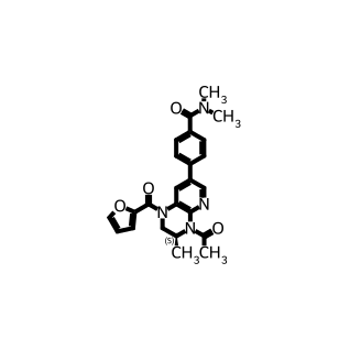 CC(=O)N1c2ncc(-c3ccc(C(=O)N(C)C)cc3)cc2N(C(=O)c2ccco2)C[C@@H]1C